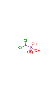 O[PH](O)(O)C(Cl)Cl